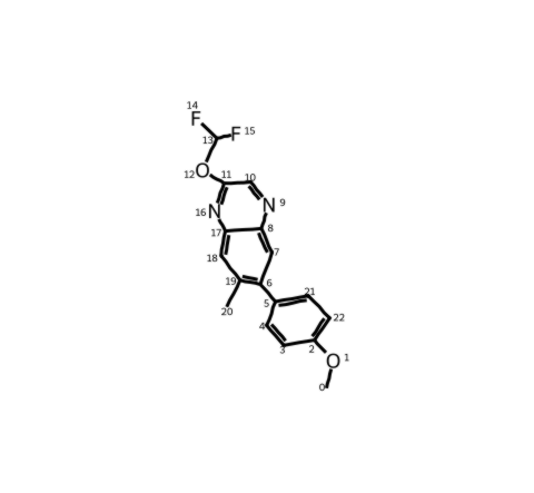 COc1ccc(-c2cc3ncc(OC(F)F)nc3cc2C)cc1